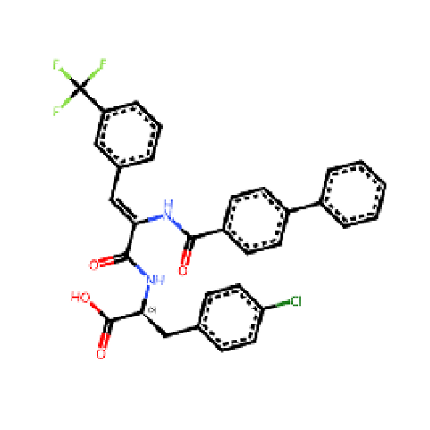 O=C(N[C@@H](Cc1ccc(Cl)cc1)C(=O)O)C(=Cc1cccc(C(F)(F)F)c1)NC(=O)c1ccc(-c2ccccc2)cc1